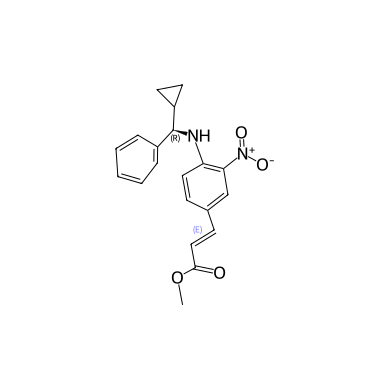 COC(=O)/C=C/c1ccc(N[C@@H](c2ccccc2)C2CC2)c([N+](=O)[O-])c1